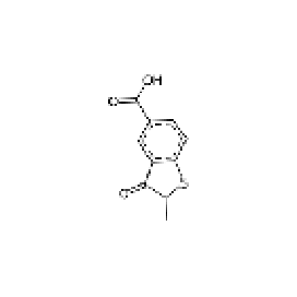 CC1Sc2ccc(C(=O)O)cc2C1=O